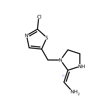 N/C=C1\NCCN1Cc1cnc(Cl)s1